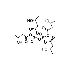 CC(O)CC(=O)OP(=O)(OC(=O)CC(C)O)OP(=O)(OC(=O)CC(C)O)OC(=O)CC(C)O